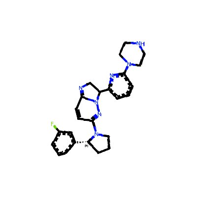 Fc1cccc([C@H]2CCCN2C2=NN3C(=NCC3c3cccc(N4CCNCC4)n3)C=C2)c1